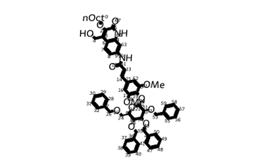 CCCCCCCCOc1c(CO)c2ccc(NC(=O)C=Cc3cc(OC)c(O[C@H]4O[C@H](COCc5ccccc5)[C@@H](OCc5ccccc5)[C@H](OCc5ccccc5)[C@@H]4OCc4ccccc4)c(OC)c3)cc2[nH]c1=O